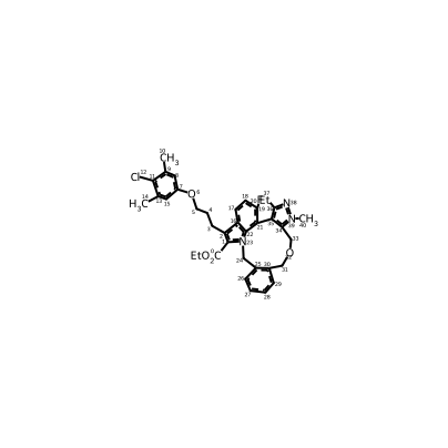 CCOC(=O)c1c(CCCOc2cc(C)c(Cl)c(C)c2)c2ccc(F)c3c2n1Cc1ccccc1COCc1c-3c(CC)nn1C